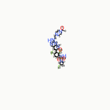 CC(=O)N1CCN(CCNc2ncc3cc(-c4c(F)ccc(NS(=O)(=O)N5CC[C@@H](F)C5)c4F)c(=O)n(C)c3n2)CC1